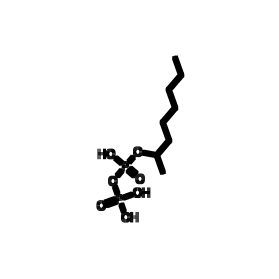 CCCCCCC(C)OP(=O)(O)OP(=O)(O)O